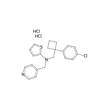 Cl.Cl.Clc1ccc(C2(CN(Cc3ccncc3)c3cccs3)CCC2)cc1